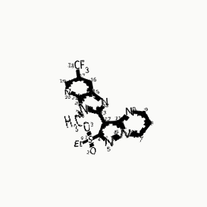 CCS(=O)(=O)c1nn2cccnc2c1-c1nc2cc(C(F)(F)F)cnc2n1C